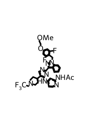 COCCOc1cc(F)c(Cn2nc(-c3ncc(C4CCN(CC(F)(F)F)CC4)c(Nc4ccnc(NC(C)=O)c4)n3)c3ccccc32)c(F)c1